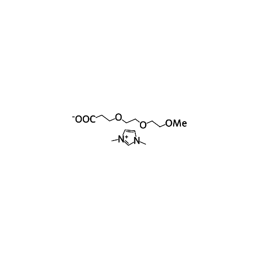 COCCOCCOCCC(=O)[O-].Cn1cc[n+](C)c1